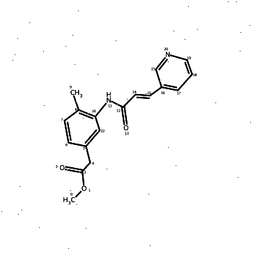 COC(=O)Cc1ccc(C)c(NC(=O)/C=C/c2cccnc2)c1